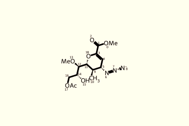 COC(=O)C1=C[C@H](N=[N+]=[N-])[C@@H](C)[C@H]([C@H](OC)[C@H](O)COC(C)=O)O1